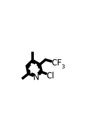 Cc1cc(C)c(CC(F)(F)F)c(Cl)n1